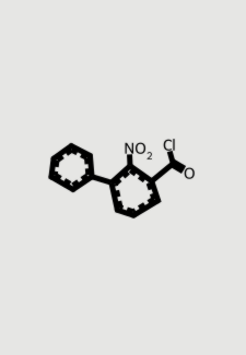 O=C(Cl)c1cccc(-c2ccccc2)c1[N+](=O)[O-]